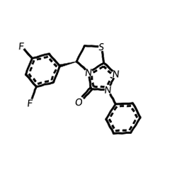 O=c1n(-c2ccccc2)nc2n1[C@@H](c1cc(F)cc(F)c1)CS2